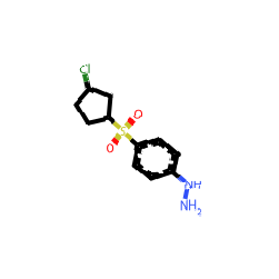 NNc1ccc(S(=O)(=O)C2CCC(Cl)C2)cc1